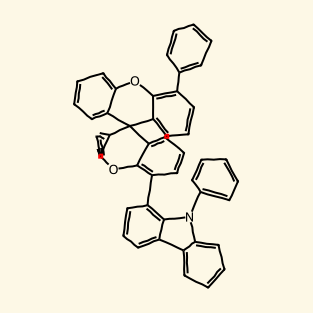 c1ccc(-c2cccc3c2Oc2ccccc2C32c3ccccc3Oc3c(-c4cccc5c6ccccc6n(-c6ccccc6)c45)cccc32)cc1